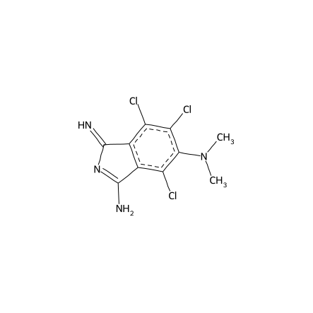 CN(C)c1c(Cl)c(Cl)c2c(c1Cl)C(N)=NC2=N